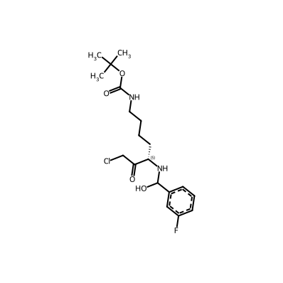 CC(C)(C)OC(=O)NCCCC[C@H](NC(O)c1cccc(F)c1)C(=O)CCl